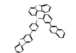 c1cc(-c2ccc3ccccc3c2)cc(N(c2ccc(-c3ccc4c(c3)oc3ccccc34)cc2)c2cccc3sc4ccccc4c23)c1